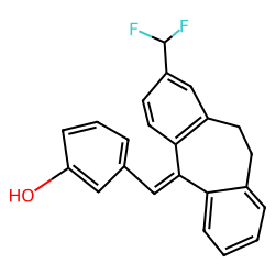 Oc1cccc(/C=C2/c3ccccc3CCc3cc(C(F)F)ccc32)c1